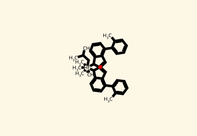 [CH2]=[Hf]([CH3])([CH3])([CH3])([CH2]C(C)C)([CH]1C=Cc2c(-c3ccccc3C)cccc21)[CH]1C=Cc2c(-c3ccccc3C)cccc21